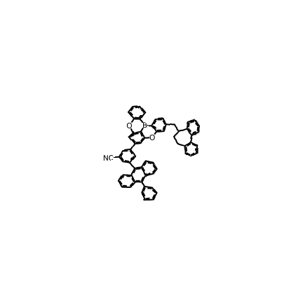 N#Cc1cc(-c2cc3c4c(c2)Oc2cc(CC5CCc6ccccc6-c6ccccc65)ccc2B4c2ccccc2O3)cc(-c2c3ccccc3c(-c3ccccc3)c3ccccc23)c1